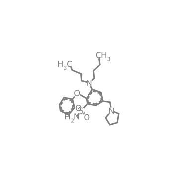 CCCCN(CCCC)c1cc(CN2CCCC2)cc(S(N)(=O)=O)c1Oc1ccccc1